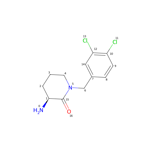 N[C@H]1CCCN(Cc2ccc(Cl)c(Cl)c2)C1=O